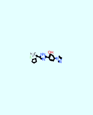 C=C(c1cnc(-c2ccc(-n3ccnc3)cc2O)nn1)[C@@H]1CCC[C@@H]1F